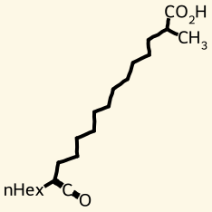 CCCCCCC(=C=O)CCCCCCCCCCCC(C)C(=O)O